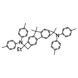 CCC1(N(c2ccc(C)cc2)c2ccc(C)cc2)Cc2cc3c(cc21)C(C)(C)c1cc2c(cc1-3)C2(C)N(c1ccc(C)cc1)c1ccc(C)cc1